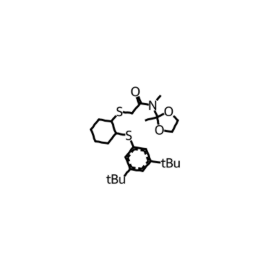 CN(C(=O)CSC1CCCCC1Sc1cc(C(C)(C)C)cc(C(C)(C)C)c1)C1(C)OCCO1